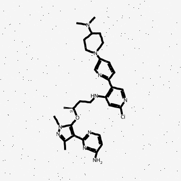 Cc1nn(C)c(O[C@@H](C)CCNc2cc(Cl)ncc2-c2ccc(N3CCC(N(C)C)CC3)cn2)c1-c1nccc(N)n1